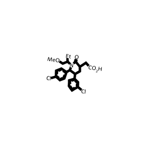 CCC(COC)N1C(=O)C(CC(=O)O)CC(c2cccc(Cl)c2)C1c1ccc(Cl)cc1